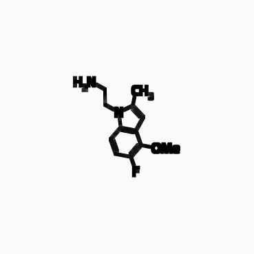 COc1c(F)ccc2c1cc(C)n2CCN